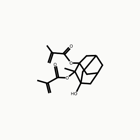 C=C(C)C(=O)OC12CC3CC(CC(O)(C3)C1(C)OC(=O)C(=C)C)C2